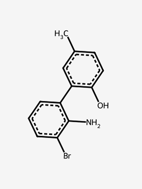 Cc1ccc(O)c(-c2cccc(Br)c2N)c1